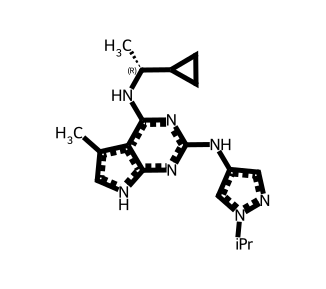 Cc1c[nH]c2nc(Nc3cnn(C(C)C)c3)nc(N[C@H](C)C3CC3)c12